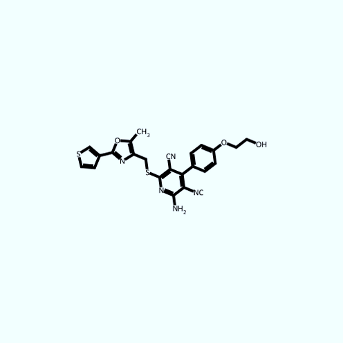 [C-]#[N+]c1c(N)nc(SCc2nc(-c3ccsc3)oc2C)c(C#N)c1-c1ccc(OCCO)cc1